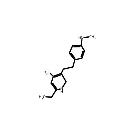 CCC1=CC(C)=C(CCc2ccc(NC)cc2)CN1